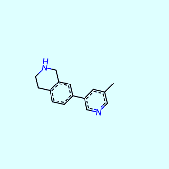 Cc1cncc(-c2ccc3c(c2)CNCC3)c1